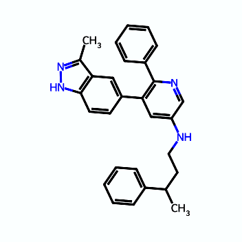 Cc1n[nH]c2ccc(-c3cc(NCCC(C)c4ccccc4)cnc3-c3ccccc3)cc12